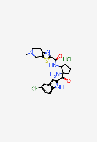 CN1CCc2nc(C(=O)NC3CCCC3(N)C(=O)c3cc4cc(Cl)ccc4[nH]3)sc2C1.Cl